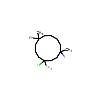 CC(C)C1(C)CCCCC(C)(I)CCC(C)(Cl)CCC1